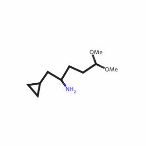 COC(CCC(N)CC1CC1)OC